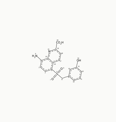 Nc1ccc(S(=O)(=O)Cc2cccc(O)c2)c2ccc(C(=O)O)nc12